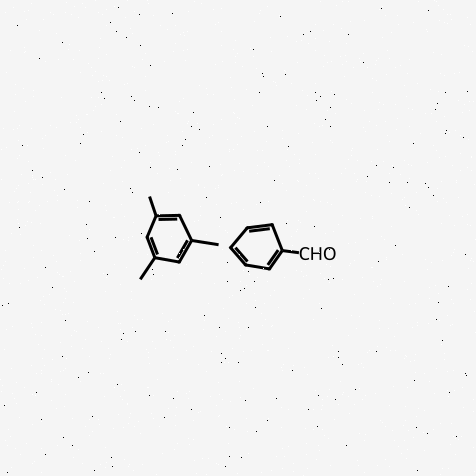 Cc1cc(C)cc(C)c1.O=Cc1ccccc1